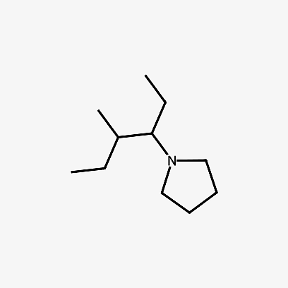 CCC(C)C(CC)N1CCCC1